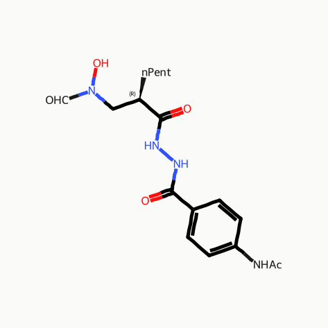 CCCCC[C@H](CN(O)C=O)C(=O)NNC(=O)c1ccc(NC(C)=O)cc1